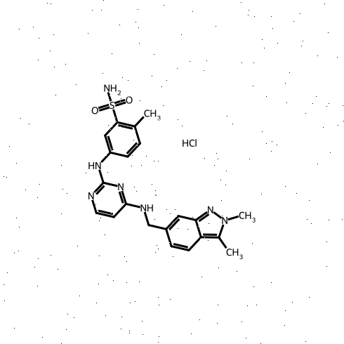 Cc1ccc(Nc2nccc(NCc3ccc4c(C)n(C)nc4c3)n2)cc1S(N)(=O)=O.Cl